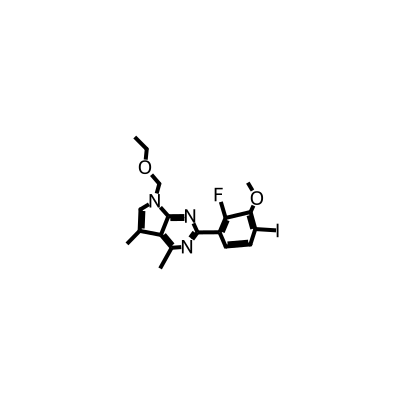 CCOCn1cc(C)c2c(C)nc(-c3ccc(I)c(OC)c3F)nc21